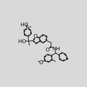 COc1ccc(C(NC(=O)Cc2ccc3oc(C(C)(O)c4cc[n+](O)cc4)cc3c2)c2ccccc2)c(C)c1